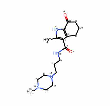 Cc1[nH]c2c(c1C(=O)NCCCN1CCN(C)CC1)CCCC2=O